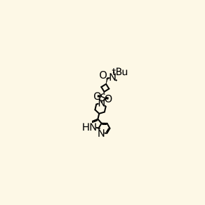 CN(C(=O)[C@H]1C[C@@H](S(=O)(=O)N2CCC(c3c[nH]c4ncccc34)CC2)C1)C(C)(C)C